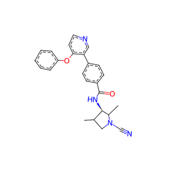 CC1CN(C#N)C(C)[C@@H]1NC(=O)c1ccc(-c2cnccc2Oc2ccccc2)cc1